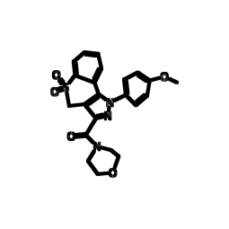 COc1ccc(-n2nc(C(=O)N3CCOCC3)c3c2-c2ccccc2S(=O)(=O)C3)cc1